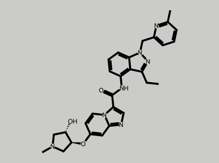 CCc1nn(Cc2cccc(C)n2)c2cccc(NC(=O)c3cnc4cc(O[C@H]5CN(C)C[C@@H]5O)ccn34)c12